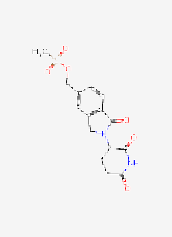 CS(=O)(=O)OCc1ccc2c(c1)CN(C1CCC(=O)NC1=O)C2=O